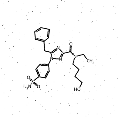 CCN(CCCCO)C(=O)c1nc(Cc2ccccc2)n(-c2ccc(S(N)(=O)=O)cc2)n1